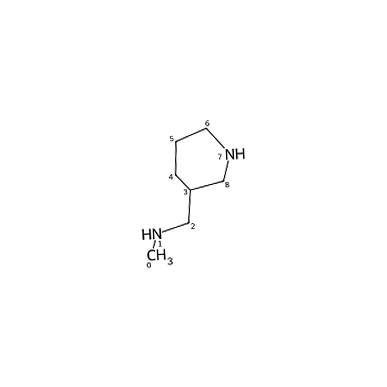 CNCC1CCCNC1